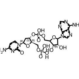 Nc1ccn([C@H]2C[C@H](OP(=O)(O)OCC3OC(n4cnc5c(N)ncnc54)[C@H](O)[C@@H]3O)[C@@H](COP(=O)(O)O)O2)c(=O)n1